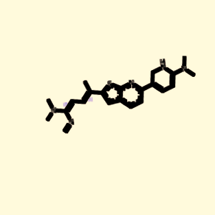 C=N/C(=C\C=C(/C)c1cc2ccc(C3=CC=C(N(C)C)NC3)nc2s1)N(C)C